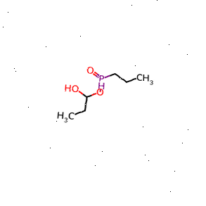 CCC[PH](=O)OC(O)CC